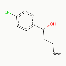 CNCC[C@@H](O)c1ccc(Cl)cc1